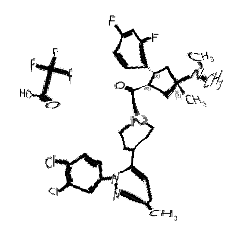 Cc1cc(C2CCN(C(=O)[C@@H]3C[C@@](C)(N(C)C)C[C@H]3c3ccc(F)cc3F)CC2)n(-c2ccc(Cl)c(Cl)c2)n1.O=C(O)C(F)(F)F